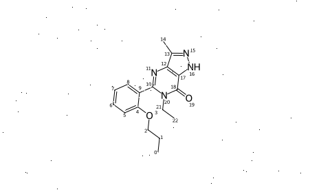 CCCOc1ccccc1-c1nc2c(C)n[nH]c2c(=O)n1CC